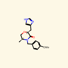 COc1ccc(CN2C(=O)[C@H](Cc3c[nH]cn3)OC[C@@H]2C)cc1